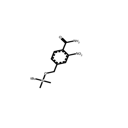 CC(C)(C)[Si](C)(C)OCc1ccc(C(N)=O)c([N+](=O)[O-])c1